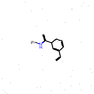 C=CC1=CC(C(=C)NC(C)C)CC=C1